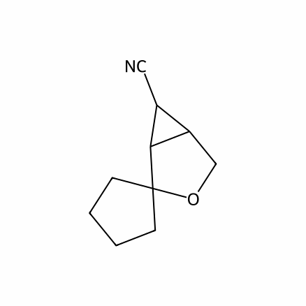 N#CC1C2COC3(CCCC3)C12